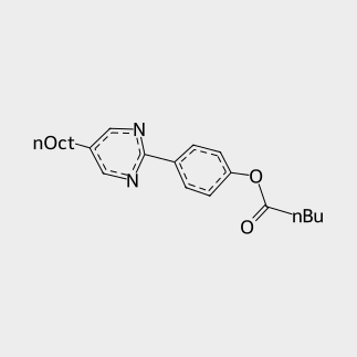 CCCCCCCCc1cnc(-c2ccc(OC(=O)CCCC)cc2)nc1